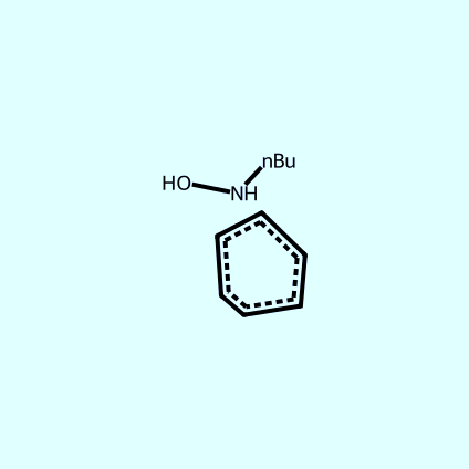 CCCCNO.c1ccccc1